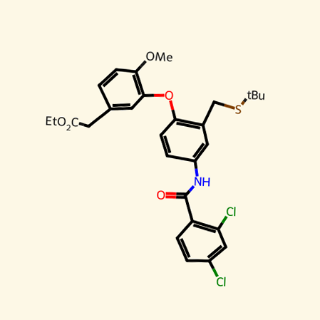 CCOC(=O)Cc1ccc(OC)c(Oc2ccc(NC(=O)c3ccc(Cl)cc3Cl)cc2CSC(C)(C)C)c1